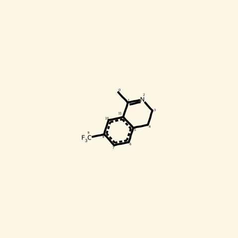 CC1=NCCc2ccc(C(F)(F)F)cc21